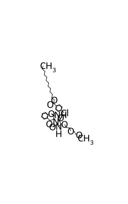 CCCCCCCCCCCCOC(=O)c1ccc(Cl)c(NC(=O)C(C(=O)c2ccccc2)N2C(=O)NC(OCCOCCOC)C2=O)c1